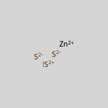 [S+2].[S-2].[S-2].[Zn+2]